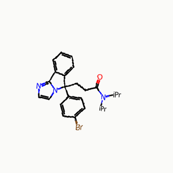 CC(C)N(C(=O)CCC1(c2ccc(Br)cc2)c2ccccc2-c2nccn21)C(C)C